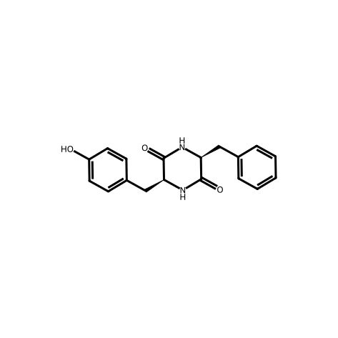 O=C1N[C@@H](Cc2ccc(O)cc2)C(=O)N[C@H]1Cc1ccccc1